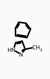 Cc1cc[nH]n1.c1ccccc1